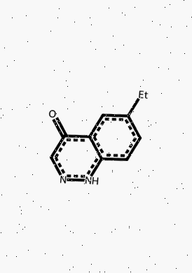 CCc1ccc2[nH]ncc(=O)c2c1